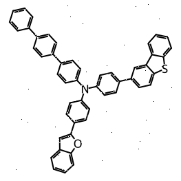 c1ccc(-c2ccc(-c3ccc(N(c4ccc(-c5ccc6sc7ccccc7c6c5)cc4)c4ccc(-c5cc6ccccc6o5)cc4)cc3)cc2)cc1